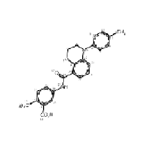 Cc1ccc(N2CCOc3c(C(=O)Nc4ccc(OCC(C)C)c(C(=O)O)c4)cccc32)nc1